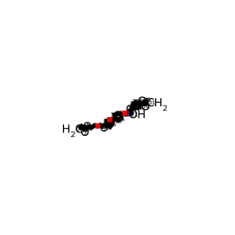 C=CC(=O)OCCCCOc1ccc(-c2ccc(/C=C/C(O)Oc3ccc(OC(=O)C=C)cc3)cc2)cc1